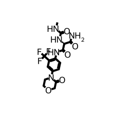 CNC(=O)N[C@@H](C(N)=O)C(=O)Nc1ccc(N2CCOCC2=O)cc1C(F)(F)F